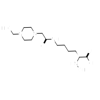 CCN1CCN(CC(=O)NCCCC[C@H](NC)C(C)=O)CC1